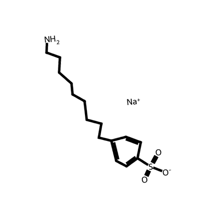 NCCCCCCCCCc1ccc(S(=O)(=O)[O-])cc1.[Na+]